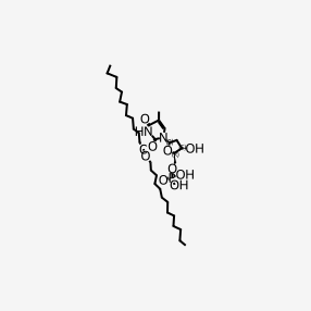 CCCCCCCCCCCCCOCCCCCCCCCCCCC.Cc1cn([C@H]2C[C@H](O)[C@@H](COP(=O)(O)O)O2)c(=O)[nH]c1=O